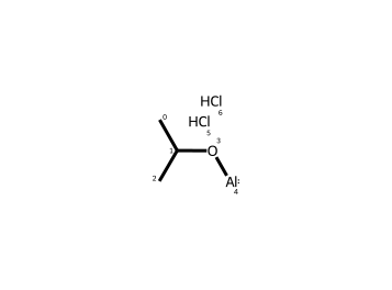 CC(C)[O][Al].Cl.Cl